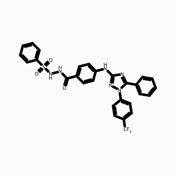 O=C(NNS(=O)(=O)c1ccccc1)c1ccc(Nc2nc(-c3ccccc3)n(-c3ccc(C(F)(F)F)cc3)n2)cc1